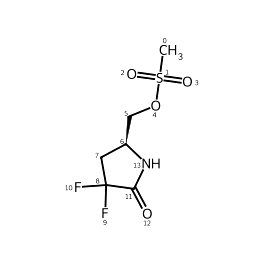 CS(=O)(=O)OC[C@@H]1CC(F)(F)C(=O)N1